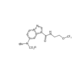 CC(C)(C)N(C(=O)O)c1ccn2ncc(C(=O)NCCOC(F)(F)F)c2c1